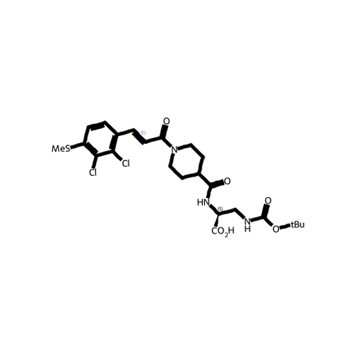 CSc1ccc(/C=C/C(=O)N2CCC(C(=O)N[C@@H](CNC(=O)OC(C)(C)C)C(=O)O)CC2)c(Cl)c1Cl